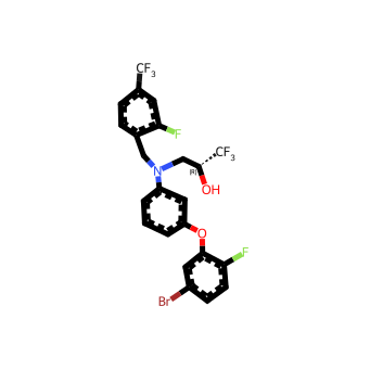 O[C@H](CN(Cc1ccc(C(F)(F)F)cc1F)c1cccc(Oc2cc(Br)ccc2F)c1)C(F)(F)F